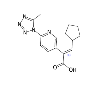 Cc1nnnn1-c1ccc(/C(=C\C2CCCC2)C(=O)O)cn1